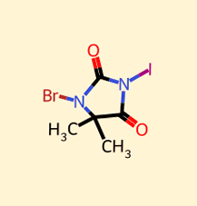 CC1(C)C(=O)N(I)C(=O)N1Br